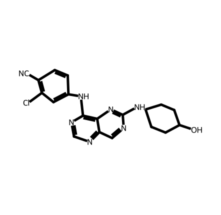 N#Cc1ccc(Nc2ncnc3cnc(NC4CCC(O)CC4)nc23)cc1Cl